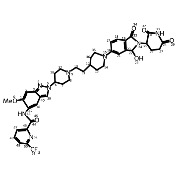 COc1cc2nn(C3CCN(CCC4CCN(c5ccc6c(c5)C(O)N(C5CCC(=O)NC5=O)C6=O)CC4)CC3)cc2cc1NC(=O)c1cccc(C(F)(F)F)n1